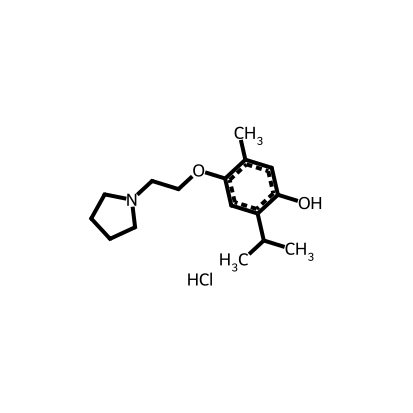 Cc1cc(O)c(C(C)C)cc1OCCN1CCCC1.Cl